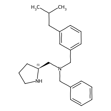 CC(C)Cc1cccc(CN(Cc2ccccc2)C[C@@H]2CCCN2)c1